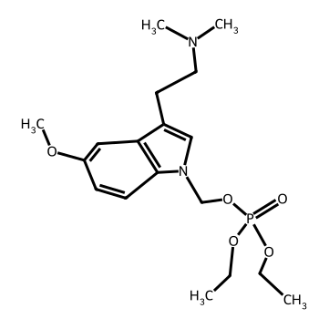 CCOP(=O)(OCC)OCn1cc(CCN(C)C)c2cc(OC)ccc21